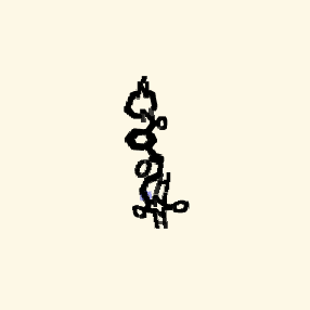 CN1CCCN(C(=O)c2cccc(C3=CCC(/C=C4\NC(=O)NC4=O)O3)c2)CC1